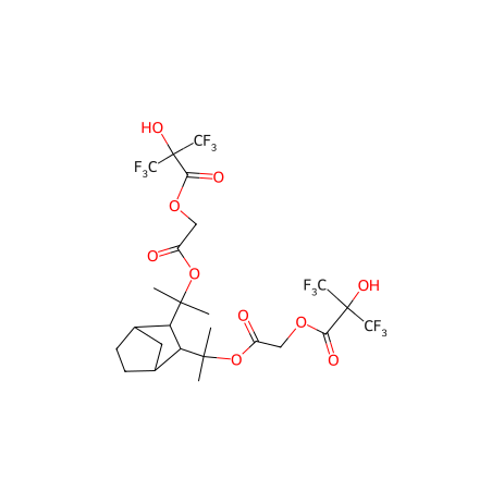 CC(C)(OC(=O)COC(=O)C(O)(C(F)(F)F)C(F)(F)F)C1C2CCC(C2)C1C(C)(C)OC(=O)COC(=O)C(O)(C(F)(F)F)C(F)(F)F